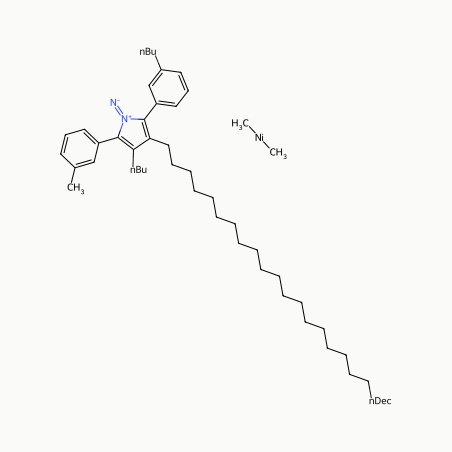 CCCCCCCCCCCCCCCCCCCCCCCCCCCCCC1=C(c2cccc(CCCC)c2)[N+](=[N-])C(c2cccc(C)c2)=C1CCCC.[CH3][Ni][CH3]